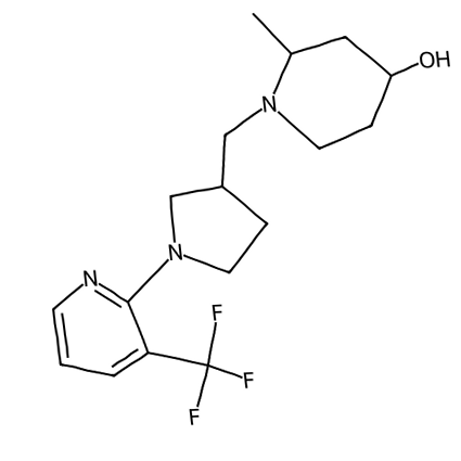 CC1CC(O)CCN1CC1CCN(c2ncccc2C(F)(F)F)C1